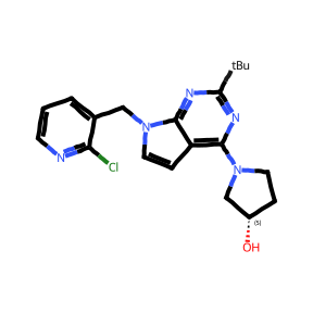 CC(C)(C)c1nc(N2CC[C@H](O)C2)c2ccn(Cc3cccnc3Cl)c2n1